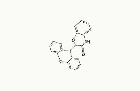 O=C1Nc2ccccc2OC1C1c2ccccc2Oc2ccccc21